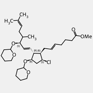 COC(=O)CCCC=CC[C@@H]1[C@@H](C=C[C@@H](OC2CCCCO2)C(C)CC=C(C)C)[C@H](OC2CCCCO2)C[C@@H]1Cl